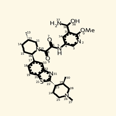 COc1ncc(NC(=O)C(=O)N2C[C@@H](C)CC[C@@H]2c2ccc3sc([C@H]4CCN(C)C[C@@H]4C)nc3c2)cc1C(N)O